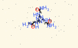 NC(=O)CNc1nc(NCC(N)=O)nc(NCC(N)=O)n1